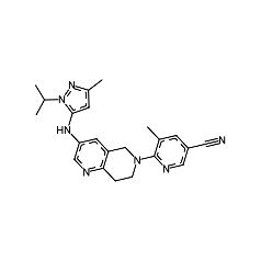 Cc1cc(Nc2cnc3c(c2)CN(c2ncc(C#N)cc2C)CC3)n(C(C)C)n1